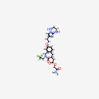 CN(C)C(=O)COC(=O)CC1Cc2ccc(OCCc3cn4c(n3)NCCN4)cc2CN(CC(F)(F)F)C1=O